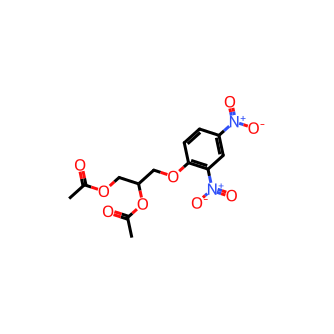 CC(=O)OCC(COc1ccc([N+](=O)[O-])cc1[N+](=O)[O-])OC(C)=O